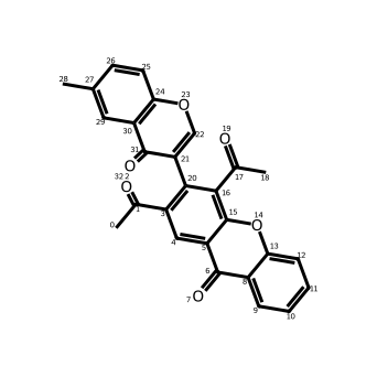 CC(=O)c1cc2c(=O)c3ccccc3oc2c(C(C)=O)c1-c1coc2ccc(C)cc2c1=O